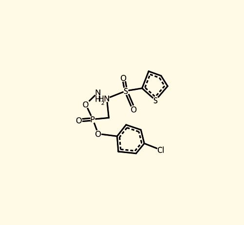 NOP(=O)(CNS(=O)(=O)c1cccs1)Oc1ccc(Cl)cc1